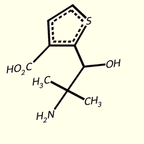 CC(C)(N)C(O)c1sccc1C(=O)O